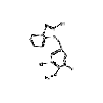 COc1c(Cl)cc(Cn2c(S)nc3ccccc32)cc1Cl